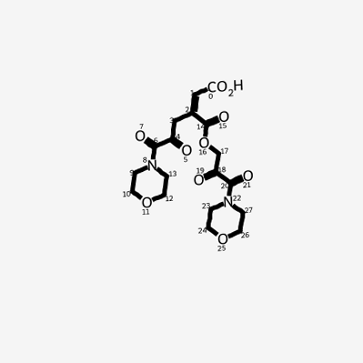 O=C(O)C=C(CC(=O)C(=O)N1CCOCC1)C(=O)OCC(=O)C(=O)N1CCOCC1